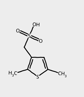 Cc1cc(CS(=O)(=O)O)c(C)s1